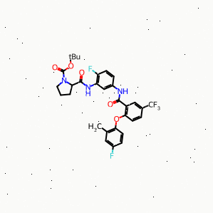 Cc1cc(F)ccc1Oc1ccc(C(F)(F)F)cc1C(=O)Nc1ccc(F)c(NC(=O)C2CCCN2C(=O)OC(C)(C)C)c1